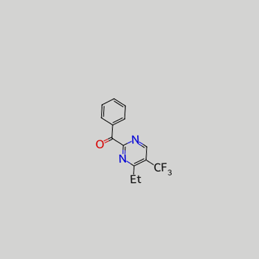 CCc1nc(C(=O)c2ccccc2)ncc1C(F)(F)F